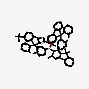 CC1C=C2C(=CC1N(c1ccc3c(c1)C1(c4ccccc4O3)c3cc(C(C)(C)C)ccc3-c3ccc(C(C)(C)C)cc31)c1ccc3c(c1)C1(c4ccccc4Sc4ccccc41)c1ccccc1-3)C(C)(C)c1ccccc12